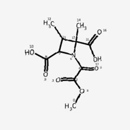 COC(=O)C(=O)N1C(C(=O)O)C(C)C1(C)C(=O)O